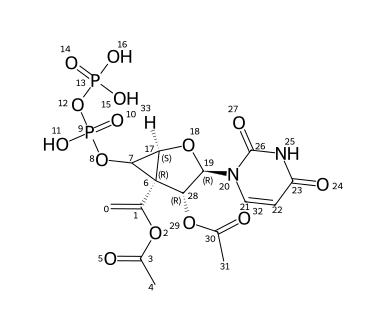 C=C(OC(C)=O)[C@]12C(OP(=O)(O)OP(=O)(O)O)[C@H]1O[C@@H](n1ccc(=O)[nH]c1=O)[C@@H]2OC(C)=O